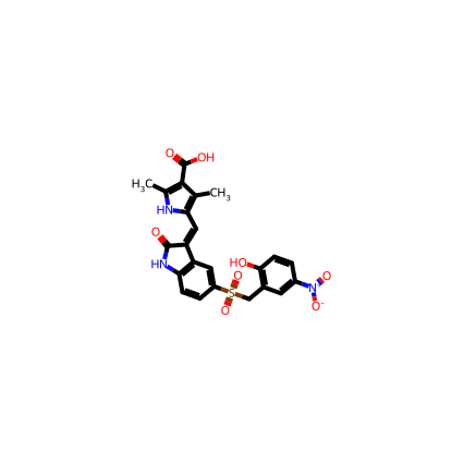 Cc1[nH]c(/C=C2\C(=O)Nc3ccc(S(=O)(=O)Cc4cc([N+](=O)[O-])ccc4O)cc32)c(C)c1C(=O)O